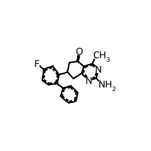 Cc1nc(N)nc2c1C(=O)CC(c1cc(F)ccc1-c1ccccc1)C2